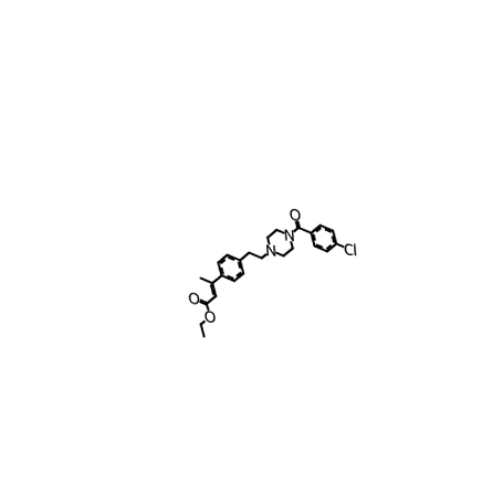 CCOC(=O)C=C(C)c1ccc(CCN2CCN(C(=O)c3ccc(Cl)cc3)CC2)cc1